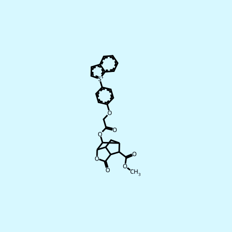 COC(=O)C1C2CC3C(OC(=O)C31)C2OC(=O)COc1ccc(-[s+]2ccc3ccccc32)cc1